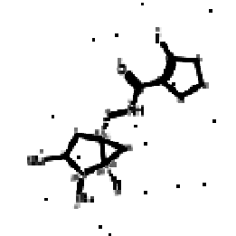 CC(C)(C)C1C[C@@]2(CNC(=O)C3=C(F)CCC3)C[C@H]2N1C(C)(C)C